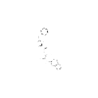 CN1C(=O)[C@@H](NC(=O)c2nnc(Cc3ccccc3)o2)COc2cc3occc3cc21